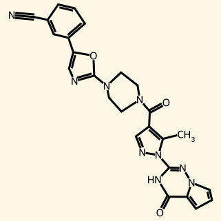 Cc1c(C(=O)N2CCN(c3ncc(-c4cccc(C#N)c4)o3)CC2)cnn1-c1nn2cccc2c(=O)[nH]1